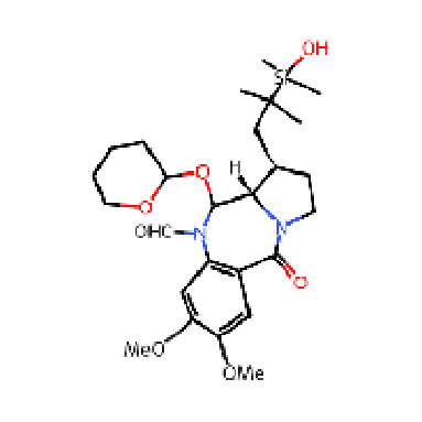 COc1cc2c(cc1OC)N(C=O)C(OC1CCCCO1)[C@@H]1[C@@H](CC(C)(C)[Si](C)(C)O)CCN1C2=O